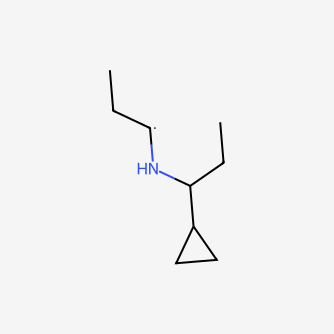 CC[CH]NC(CC)C1CC1